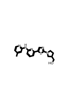 Cc1ccnc(Nc2cccc(-c3cnc(N4CCC(CO)C4)s3)n2)c1